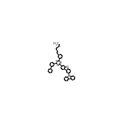 C\C=C/C=C\C=C\c1cccc(-c2nc(-c3cccc(-c4ccccc4)c3)nc(-c3ccc4c(c3)oc3ccc(-n5c6ccccc6c6ccccc65)cc34)n2)c1